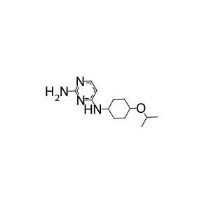 CC(C)OC1CCC(Nc2ccnc(N)n2)CC1